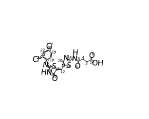 O=C(O)CCC(=O)Nc1ncc(/C=C2\S/C(=N\c3ccc(Cl)cc3Cl)NC2=O)s1